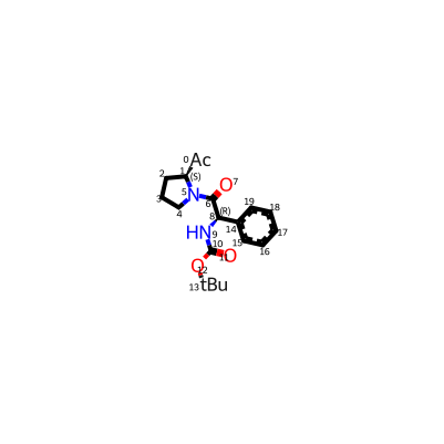 CC(=O)[C@@H]1CCCN1C(=O)[C@H](NC(=O)OC(C)(C)C)c1ccccc1